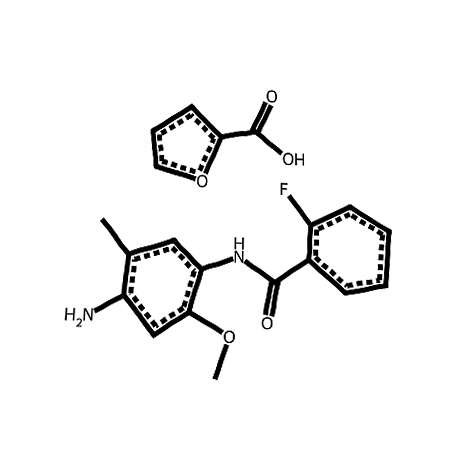 COc1cc(N)c(C)cc1NC(=O)c1ccccc1F.O=C(O)c1ccco1